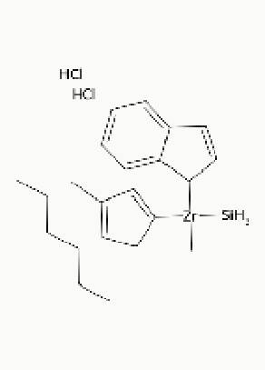 CC1=CC[C]([Zr]([CH3])([SiH3])[CH]2C=Cc3ccccc32)=C1.CCCCCC.Cl.Cl